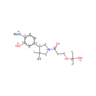 CCC1(C)CN(C(=O)CCOC(C)(C)O)CC1c1ccc(OC)c(O)c1